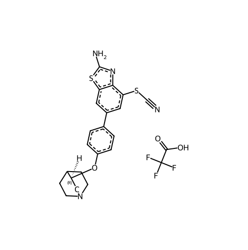 N#CSc1cc(-c2ccc(O[C@H]3CN4CCC3CC4)cc2)cc2sc(N)nc12.O=C(O)C(F)(F)F